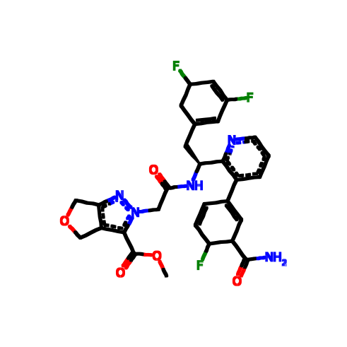 COC(=O)c1c2c(nn1CC(=O)N[C@@H](CC1=CC(F)=CC(F)C1)c1ncccc1C1=CC(C(N)=O)C(F)C=C1)COC2